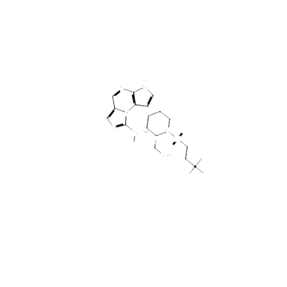 CC[C@H]1[C@H](N(C)c2ncc3cnc4[nH]ccc4n23)CCCN1S(=O)(=O)CCC(F)(F)F